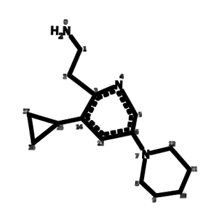 NCCc1ncc(N2CCCCC2)cc1C1CC1